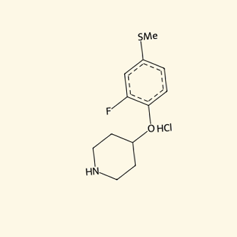 CSc1ccc(OC2CCNCC2)c(F)c1.Cl